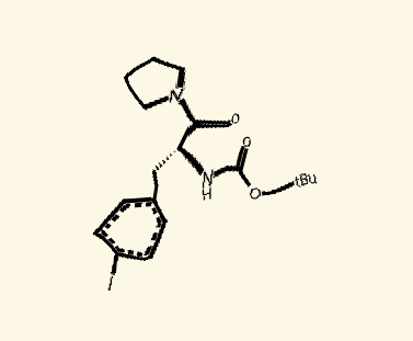 CC(C)(C)OC(=O)N[C@H](Cc1ccc(I)cc1)C(=O)N1CCCC1